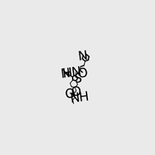 CCNC(=O)OC1CCc2c(sc(NC(=O)C=Cc3cccnc3)c2C#N)C1